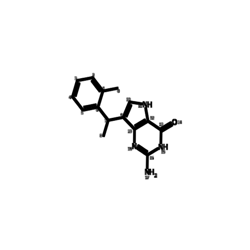 Cc1ccccc1C(C)c1c[nH]c2c(=O)[nH]c(N)nc12